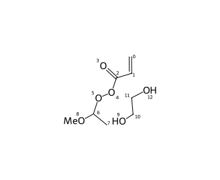 C=CC(=O)OOC(C)OC.OCCO